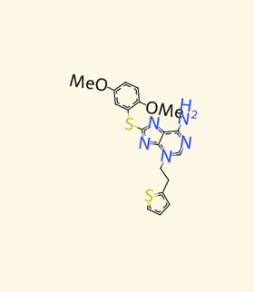 COc1ccc(OC)c(Sc2nc3c(N)ncn(CCc4cccs4)c-3n2)c1